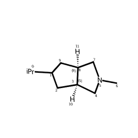 CC(C)C1C[C@@H]2CN(C)C[C@@H]2C1